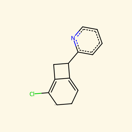 ClC1=C2CC(c3ccccn3)C2=CC[CH]1